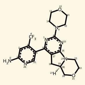 Nc1cc(C(F)(F)F)c(-c2nc(N3CCOCC3)nc3c2C[C@@H]2COCCN32)cn1